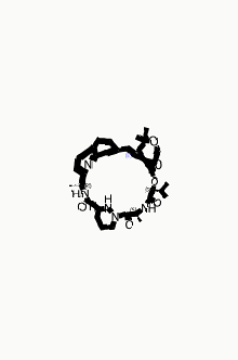 CC(C)[C@@H]1OC(=O)C2(/C=C/c3ccc4ccc(nc4c3)[C@@H](C)NC(=O)[C@@H]3CCCN(N3)C(=O)[C@H](C)NC1=O)CCOC(C)(C)C2